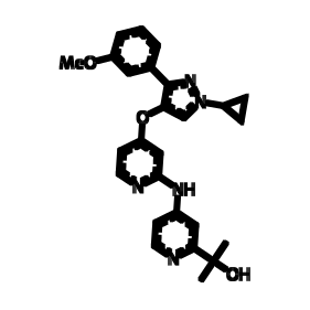 COc1cccc(-c2nn(C3CC3)cc2Oc2ccnc(Nc3ccnc(C(C)(C)O)c3)c2)c1